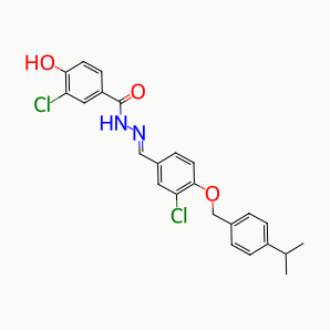 CC(C)c1ccc(COc2ccc(/C=N/NC(=O)c3ccc(O)c(Cl)c3)cc2Cl)cc1